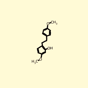 COc1ccc(CCc2ccc(OC)cc2O)cc1